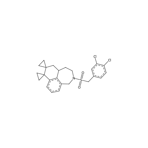 O=S(=O)(Cc1ccc(Cl)c(Cl)c1)N1CCC2CC3(CC3)C3(CC3)c3cccc(c32)C1